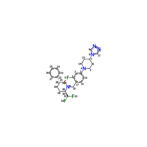 Fc1cc(N2CCC(n3cnnc3)CC2)ccc1CN1S[C@@H](c2ccccc2)CC[C@@H]1C(F)F